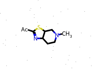 CC(=O)C1=NC2CCN(C)CC2S1